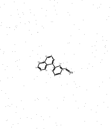 N=Cc1cccc(-c2cccc3ccccc23)n1